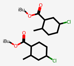 CCC(C)OC(=O)C1CC(Cl)CCC1C.CCC(C)OC(=O)C1CCC(Cl)CC1C